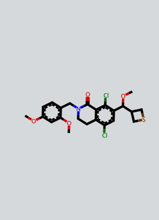 COc1ccc(CN2CCc3c(Cl)cc(C(OC)C4CSC4)c(Cl)c3C2=O)c(OC)c1